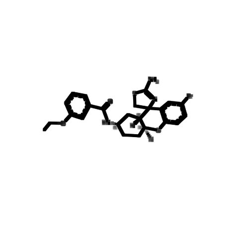 CCOc1cccc(C(=O)N[C@H]2CC[C@@H]3Oc4ccc(Br)cc4C4(CSC(N)=N4)[C@H]3C2)c1